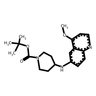 COc1ccnc2ccc(NC3CCN(C(=O)OC(C)(C)C)CC3)cc12